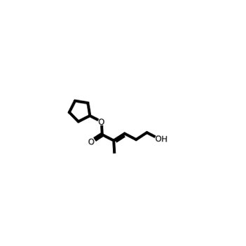 CC(=CCCO)C(=O)OC1CCCC1